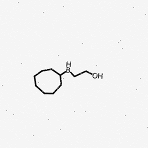 OCCBC1CCCCCCC1